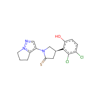 Oc1ccc(Cl)c(Cl)c1[C@H]1CC(=S)N(c2cnn3c2CCC3)C1